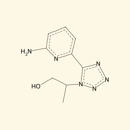 CC(CO)n1nnnc1-c1cccc(N)n1